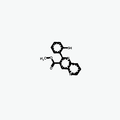 COC(=O)c1cc2ncccc2nc1-c1ccccc1S